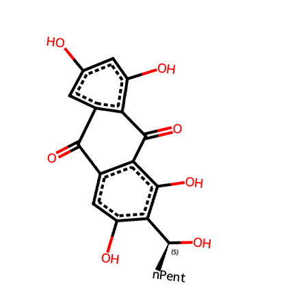 CCCCC[C@H](O)c1c(O)cc2c(c1O)C(=O)c1c(O)cc(O)cc1C2=O